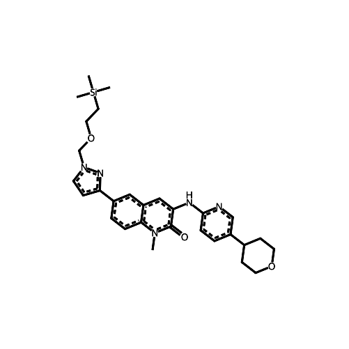 Cn1c(=O)c(Nc2ccc(C3CCOCC3)cn2)cc2cc(-c3ccn(COCC[Si](C)(C)C)n3)ccc21